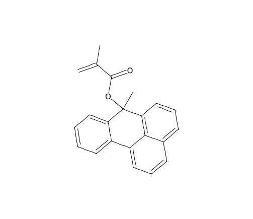 C=C(C)C(=O)OC1(C)c2ccccc2-c2cccc3cccc1c23